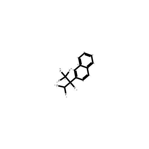 FC(F)C(F)(c1ccc2ccccc2c1)C(F)(F)F